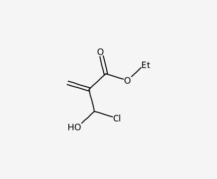 C=C(C(=O)OCC)C(O)Cl